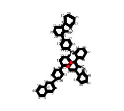 C1=CC2=CC=C(c3ccc(-c4ccc(N(c5ccc(-c6cccc7c6oc6ccccc67)cc5)c5ccccc5-c5cccc6c5sc5ccccc56)cc4)cc3)CC2C=C1